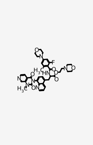 Cc1cc(N2CCOCC2)cc(F)c1C(=O)NC(Cc1ccc(-n2c(=O)c3ccncc3n(C)c2=O)c2ncccc12)C(=O)OCCN1CCOCC1